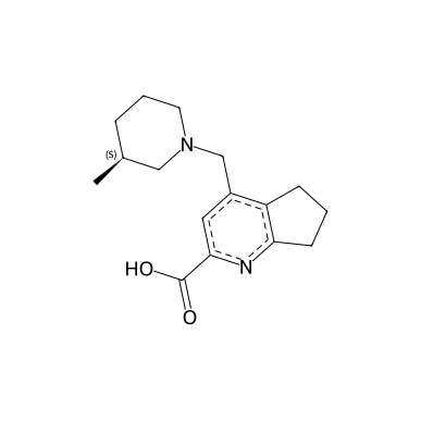 C[C@H]1CCCN(Cc2cc(C(=O)O)nc3c2CCC3)C1